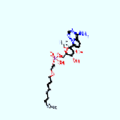 CCCCCCCCCCCCCCCCCOCCOP(=O)(O)OC[C@H]1O[C@@](C)(c2ccc3c(N)ncnn23)[C@H](O)[C@@H]1O